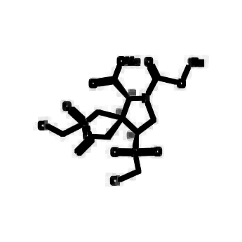 C=CC[C@]1(CS(=O)(=O)CCl)[C@H](S(=O)(=O)CCl)CN(C(=O)OC(C)(C)C)[C@@H]1C(=O)OC